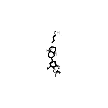 CC=CCC[C@@H]1CC[C@@H]2CC(c3cc(F)c(OC(F)(F)F)c(F)c3)CC[C@@H]2C1